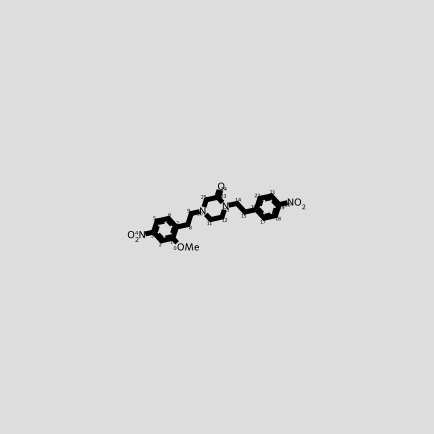 COc1cc([N+](=O)[O-])ccc1CCN1CCN(CCc2ccc([N+](=O)[O-])cc2)C(=O)C1